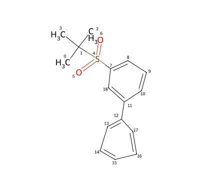 CC(C)(C)S(=O)(=O)c1cccc(-c2ccccc2)c1